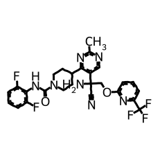 Cc1ncc(C(N)(C#N)COc2cccc(C(F)(F)F)n2)c(C2CCN(C(=O)Nc3c(F)cccc3F)CC2)n1